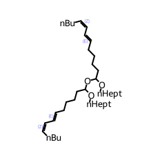 CCCC/C=C\C=C\CCCCC(OCCCCCCC)OC(CCCC/C=C/C=C\CCCC)OCCCCCCC